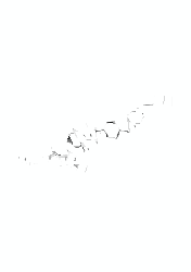 C=CC(=O)N1CCN(Cc2ccc([C@H](C)Nc3nccc(N4C(=O)OC[C@@H]4[C@H](C)OC)n3)cc2)CC1